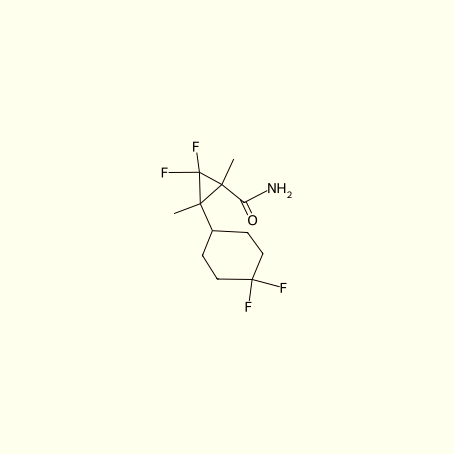 CC1(C(N)=O)C(F)(F)C1(C)C1CCC(F)(F)CC1